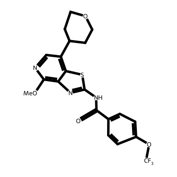 COc1ncc(C2CCOCC2)c2sc(NC(=O)c3ccc(OC(F)(F)F)cc3)nc12